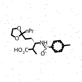 CCCC1(CC[C@H](N[S@@+]([O-])c2ccc(C)cc2)C(C)C(=O)O)OCCO1